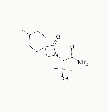 CC1CCC2(CC1)CN([C@H](C(N)=O)C(C)(C)O)C2=O